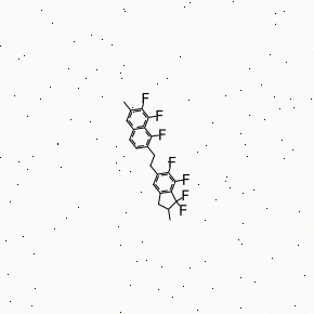 Cc1cc2ccc(CCc3cc4c(c(F)c3F)C(F)(F)C(C)C4)c(F)c2c(F)c1F